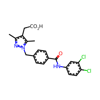 Cc1nn(Cc2ccc(C(=O)Nc3ccc(Cl)c(Cl)c3)cc2)c(C)c1CC(=O)O